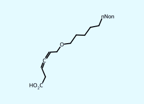 CCCCCCCCCCCCCCOCC=C=CCC(=O)O